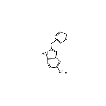 [CH2]c1ccc2[nH]c(Cc3ccccc3)cc2c1